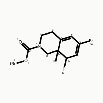 CC(C)(C)OC(=O)N1CCC2=CC(Br)=CC(F)C2(C)C1